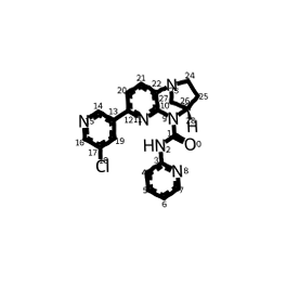 O=C(Nc1ccccn1)N1c2nc(-c3cncc(Cl)c3)ccc2N2CC[C@H]1C2